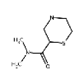 CN(C)C(=O)C1C[N]CCS1